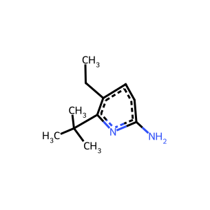 CCc1ccc(N)nc1C(C)(C)C